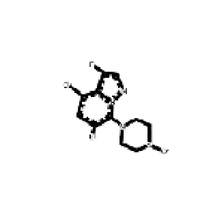 CCc1cc(Cl)c2c(F)cnn2c1N1CC[S+]([O-])CC1